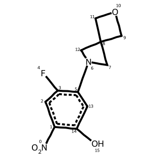 O=[N+]([O-])c1cc(F)c(N2CC3(COC3)C2)cc1O